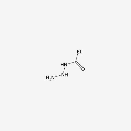 CCC(=O)NNN